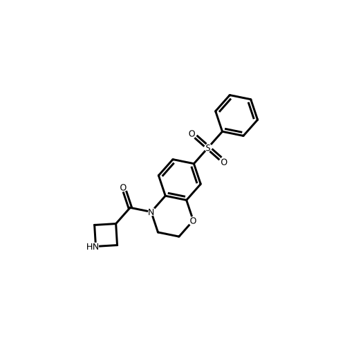 O=C(C1CNC1)N1CCOc2cc(S(=O)(=O)c3ccccc3)ccc21